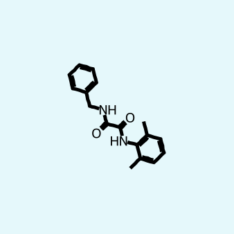 Cc1cccc(C)c1NC(=O)C(=O)NCc1ccccc1